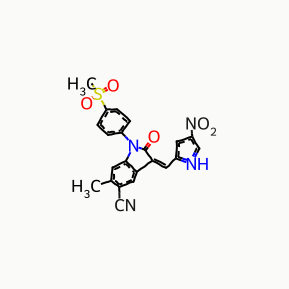 Cc1cc2c(cc1C#N)/C(=C/c1cc([N+](=O)[O-])c[nH]1)C(=O)N2c1ccc(S(C)(=O)=O)cc1